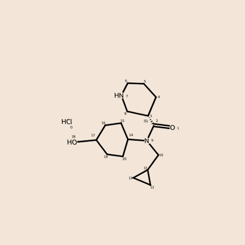 Cl.O=C([C@H]1CCCNC1)N(CC1CC1)C1CCC(O)CC1